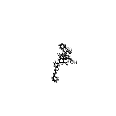 CC(C)c1cc(-c2cccc(OCCCc3ccncc3)c2)cc(C(C)C)c1NC(=O)N(CCCO)c1cc2cccnc2[nH]c1=O